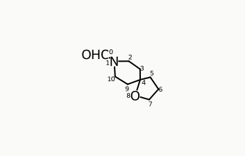 O=CN1CCC2(CCCO2)CC1